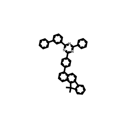 CC1(C)c2ccccc2-c2ccc3c(-c4ccc(-c5nc(-c6ccccc6)nc(-c6cccc(-c7ccccc7)c6)n5)cc4)cccc3c21